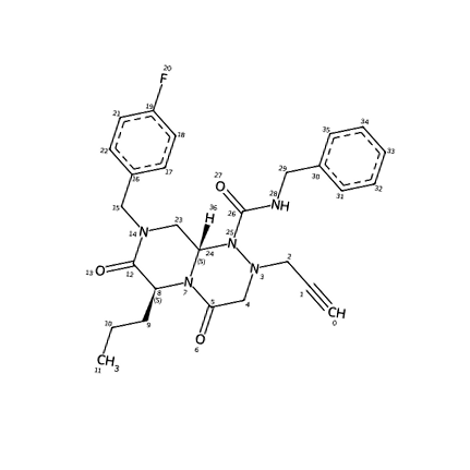 C#CCN1CC(=O)N2[C@@H](CCC)C(=O)N(Cc3ccc(F)cc3)C[C@@H]2N1C(=O)NCc1ccccc1